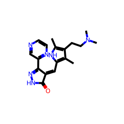 Cc1[nH]c(/C=C2/C(=O)NN=C2c2cnccn2)c(C)c1CCN(C)C